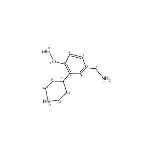 CCCCOc1ccc(CN)cc1C1CCNCC1